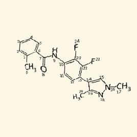 Cc1ccccc1C(=O)Nc1ccc(-c2cn(C)nc2C)c(F)c1F